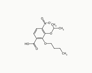 CCCCOc1c(C(=O)O)ccc([N+](=O)[O-])c1OC(C)C